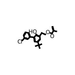 C=C(C)C(=O)OCCc1cc(C(C)(C)C)cc(-c2cccc(Cl)c2)c1O